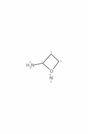 NC1CCO1.[N]